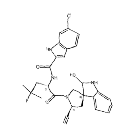 C#C[C@@H]1C[C@]2(CN1C(=O)[C@H](CC(C)(C)F)NC(=O)c1cc3ccc(Cl)cc3[nH]1)c1ccccc1NC2O